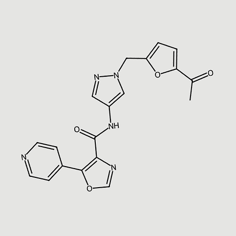 CC(=O)c1ccc(Cn2cc(NC(=O)c3ncoc3-c3ccncc3)cn2)o1